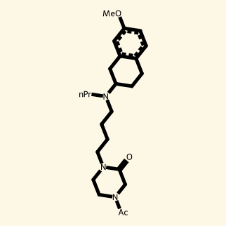 CCCN(CCCCN1CCN(C(C)=O)CC1=O)C1CCc2ccc(OC)cc2C1